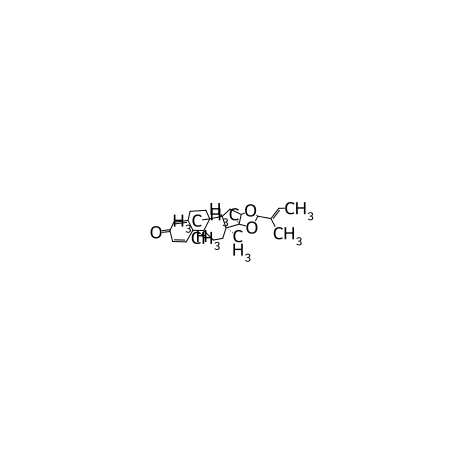 C/C=C(\C)C1OC2C[C@H]3C4(C)CCC5=CC(=O)C=C[C@]5(C)[C@H]4CC[C@]3(C)[C@]2(C)O1